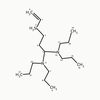 C=C[SiH2]CCC(N(CCC)CCC)N(CCC)CCC